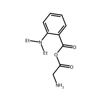 CCN(CC)c1ccccc1C(=O)OC(=O)CN